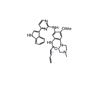 C=C/C=C/C(=O)Nc1cc(Nc2nccc(-c3c[nH]c4ccccc34)n2)c(OC)cc1N1CCN(C)CC1